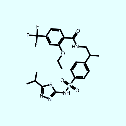 CCOc1cc(C(F)(F)F)ccc1C(=O)NCC(C)c1ccc(S(=O)(=O)Nc2nnc(C(C)C)s2)cc1